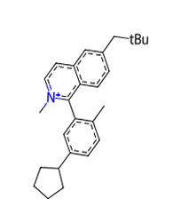 Cc1ccc(C2CCCC2)cc1-c1c2ccc(CC(C)(C)C)cc2cc[n+]1C